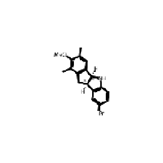 COc1c(C)cc2c(c1C)C[C@@H]1c3cc(C(C)C)ccc3N[C@H]21